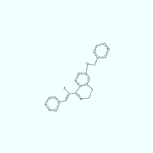 FC(=Cc1ccccc1)C1=NCCc2cc(OCc3ccccc3)ccc21